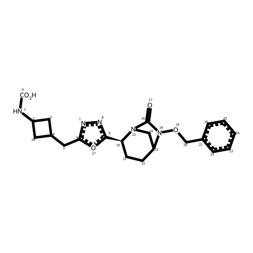 O=C(O)NC1CC(Cc2nnc([C@@H]3CCC4CN3C(=O)N4OCc3ccccc3)o2)C1